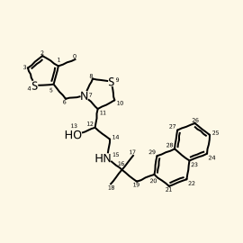 Cc1ccsc1CN1CSCC1C(O)CNC(C)(C)Cc1ccc2ccccc2c1